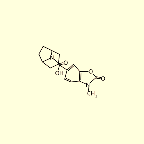 Cn1c(=O)oc2cc(C3CC4CCC(C3)N4C(=O)O)ccc21